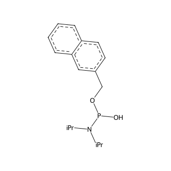 CC(C)N(C(C)C)P(O)OCc1ccc2ccccc2c1